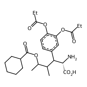 CCC(=O)Oc1ccc(C(C(C)C(C)OC(=O)C2CCCCC2)[C@H](N)C(=O)O)cc1OC(=O)CC